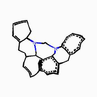 C1=CCC2C(=C1)CC1C=CC=CC1N2CN1c2ccccc2Cc2ccccc21